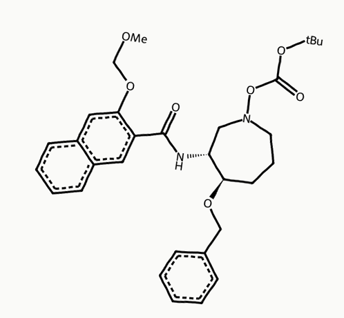 COCOc1cc2ccccc2cc1C(=O)N[C@@H]1CN(OC(=O)OC(C)(C)C)CCC[C@H]1OCc1ccccc1